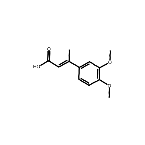 COc1ccc(C(C)=CC(=O)O)cc1OC